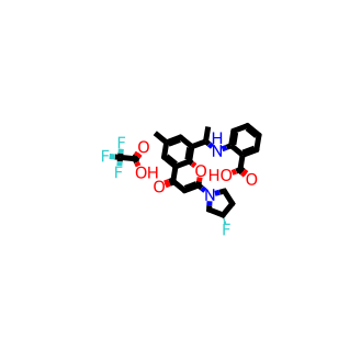 Cc1cc(C(C)Nc2ccccc2C(=O)O)c2oc(N3CC[C@H](F)C3)cc(=O)c2c1.O=C(O)C(F)(F)F